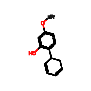 CCCOc1ccc(C2C=CC=CC2)c(O)c1